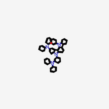 c1ccc(N(c2ccccc2)c2cccc(-n3c4ccc(N(c5ccccc5)c5ccccc5)cc4c4c3ccc3c5ccccc5n(-c5ccccc5)c34)c2)cc1